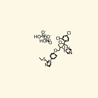 CCSc1nccn1-c1ccc(OCC2COC(Cn3cncn3)(c3ccc(Cl)cc3Cl)O2)cc1.O=[N+]([O-])O.O=[N+]([O-])O